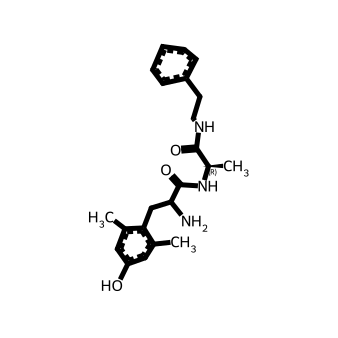 Cc1cc(O)cc(C)c1CC(N)C(=O)N[C@H](C)C(=O)NCCc1ccccc1